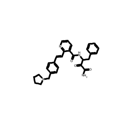 NC(=O)C(=O)C(Cc1ccccc1)NC(=O)c1cccnc1/C=C/c1ccc(CN2CCCC2)cc1